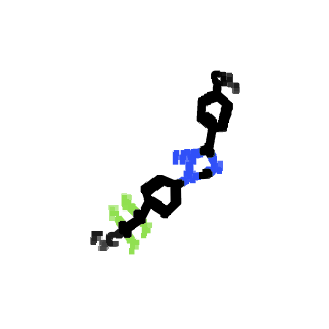 Cc1ccc(C2N=CN(c3ccc(C(F)(F)C(F)(F)C(F)(F)F)cc3)N2)cc1